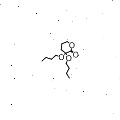 CCCCOC1(OCCCC)CCCOC1=O